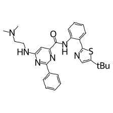 CN(C)CCNc1cc(C(=O)Nc2ccccc2-c2ncc(C(C)(C)C)s2)nc(-c2ccccc2)n1